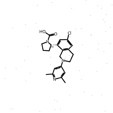 Cc1cc(N2CCc3cc(Cl)cc([C@@H]4CCCN4C(=O)O)c3C2)cc(C)n1